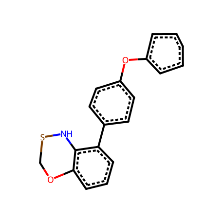 c1ccc(Oc2ccc(-c3cccc4c3NSCO4)cc2)cc1